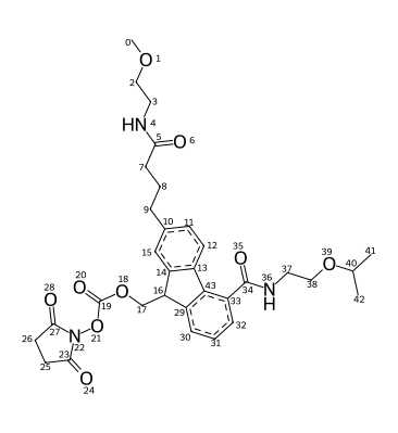 COCCNC(=O)CCCc1ccc2c(c1)C(COC(=O)ON1C(=O)CCC1=O)c1cccc(C(=O)NCCOC(C)C)c1-2